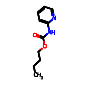 CCCCOC(=O)Nc1ccccn1